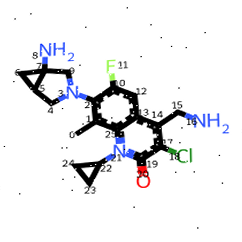 Cc1c(N2CC3CC3(N)C2)c(F)cc2c(CN)c(Cl)c(=O)n(C3CC3)c12